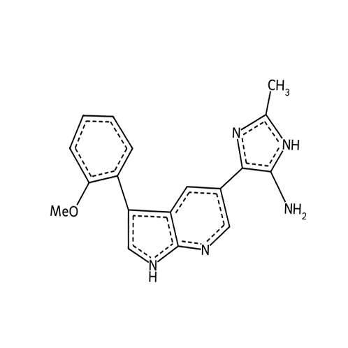 COc1ccccc1-c1c[nH]c2ncc(-c3nc(C)[nH]c3N)cc12